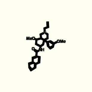 C=CCN1CCC2(c3cccc(OC)c3)CC(NC(=O)c3ccc4ccccc4c3)CC(OC)C2C1